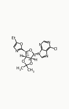 CCc1cnc([C@H]2O[C@@H](n3cnc4c(Cl)ncnc43)[C@@H]3OC(C)(C)O[C@@H]32)o1